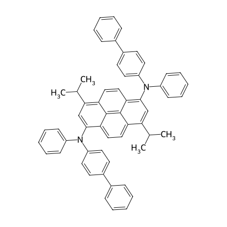 CC(C)c1cc(N(c2ccccc2)c2ccc(-c3ccccc3)cc2)c2ccc3c(C(C)C)cc(N(c4ccccc4)c4ccc(-c5ccccc5)cc4)c4ccc1c2c34